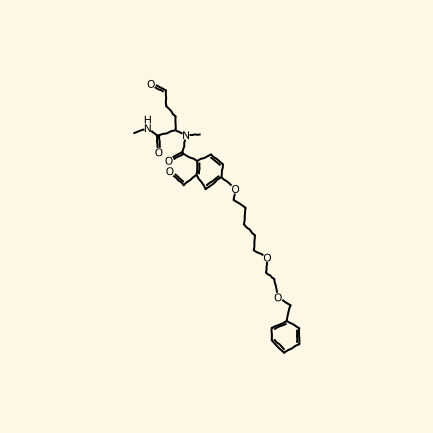 CNC(=O)C(CCC=O)N(C)C(=O)c1ccc(OCCCCCOCCOCc2ccccc2)cc1C=O